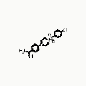 N=C(N)c1ccc(N2CCN(S(=O)(=O)c3ccc(Cl)cc3)CC2)cc1